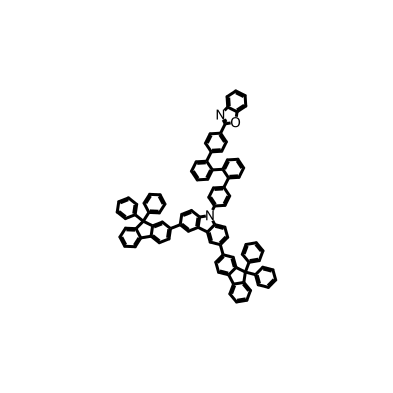 c1ccc(C2(c3ccccc3)c3ccccc3-c3ccc(-c4ccc5c(c4)c4cc(-c6ccc7c(c6)C(c6ccccc6)(c6ccccc6)c6ccccc6-7)ccc4n5-c4ccc(-c5ccccc5-c5ccccc5-c5ccc(-c6nc7ccccc7o6)cc5)cc4)cc32)cc1